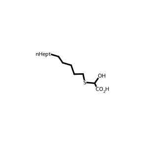 CCCCCCCCCCCCSC(O)C(=O)O